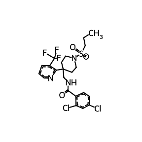 CCCS(=O)(=O)N1CCC(CNC(=O)c2ccc(Cl)cc2Cl)(c2ncccc2C(F)(F)F)CC1